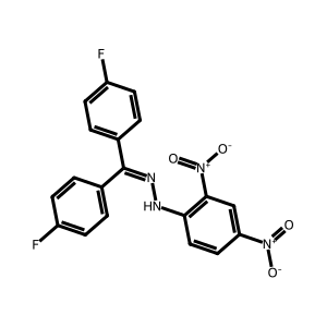 O=[N+]([O-])c1ccc(NN=C(c2ccc(F)cc2)c2ccc(F)cc2)c([N+](=O)[O-])c1